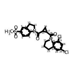 CS(=O)(=O)c1ccc2c(c1)CCN2C(=O)C1CC1C(=O)N1CCCc2cc(Cl)cc(Cl)c21